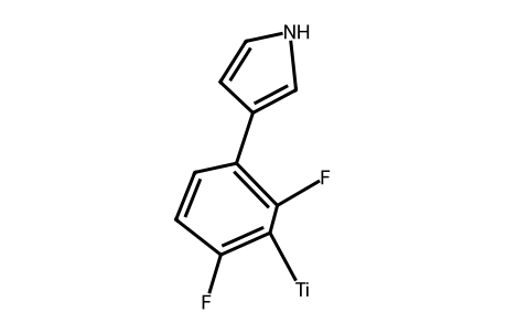 Fc1ccc(-c2cc[nH]c2)c(F)[c]1[Ti]